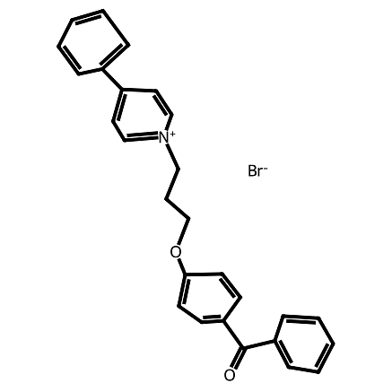 O=C(c1ccccc1)c1ccc(OCCC[n+]2ccc(-c3ccccc3)cc2)cc1.[Br-]